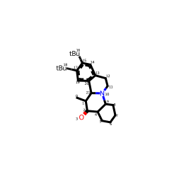 CC1C(=O)C2CCCCC2N2CCc3cc(C(C)(C)C)c(C(C)(C)C)cc3C12